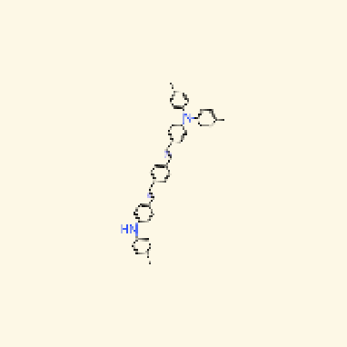 Cc1ccc(Nc2ccc(/C=C/c3ccc(/C=C/c4ccc(N(c5ccc(C)cc5)c5ccc(C)cc5)cc4)cc3)cc2)cc1